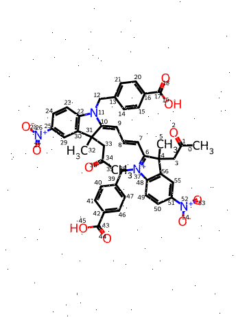 CC(=O)CC1(C)C(/C=C/C=C2/N(Cc3ccc(C(=O)O)cc3)c3ccc([N+](=O)[O-])cc3C2(C)CC(C)=O)=[N+](Cc2ccc(C(=O)O)cc2)c2ccc([N+](=O)[O-])cc21